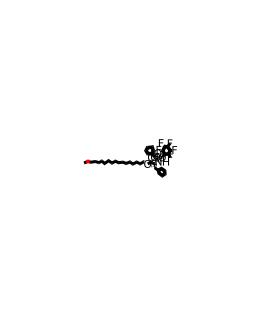 CCCCCCCCCCCCCCCCCCOC(=O)[C@H](Cc1ccccc1)N[P@](=O)(Oc1ccccc1)Oc1c(F)c(F)c(F)c(F)c1F